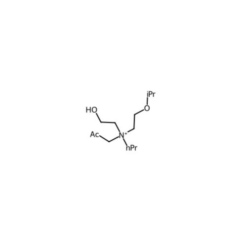 CCC[N+](CCO)(CCOC(C)C)CC(C)=O